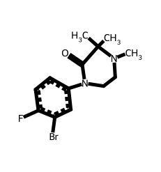 CN1CCN(c2ccc(F)c(Br)c2)C(=O)C1(C)C